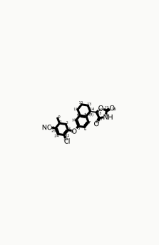 CC1CC(Oc2ccc3c(c2)CCC[C@H]3C2OC(=O)NC2=O)=C(Cl)C=C1C#N